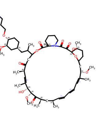 CO[C@H]1CC2CC[C@@H](C)[C@@](O)(O2)C(=O)C(=O)N2CCCC[C@H]2C(=O)OC(C(C)C[C@@H]2CC[C@@H](OCCCI)[C@H](OC)C2)CC(=O)[C@H](C)/C=C(\C)[C@@H](O)[C@@H](OC)C(=O)[C@H](C)C[C@H](C)/C=C/C=C/C=C/1C